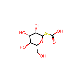 O=C(O)SC1O[C@H](CO)[C@@H](O)[C@H](O)[C@H]1O